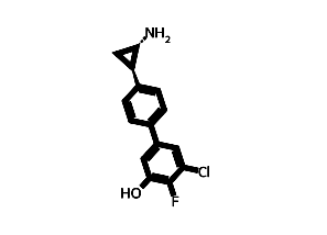 N[C@H]1C[C@@H]1c1ccc(-c2cc(O)c(F)c(Cl)c2)cc1